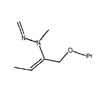 C=NN(C)/C(=C\C)COC(C)C